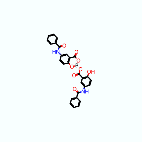 O=C(Nc1ccc(O)c(C(=O)OB2OC(=O)c3cc(NC(=O)c4ccccc4)ccc3O2)c1)c1ccccc1